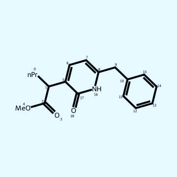 CCCC(C(=O)OC)c1ccc(Cc2ccccc2)[nH]c1=O